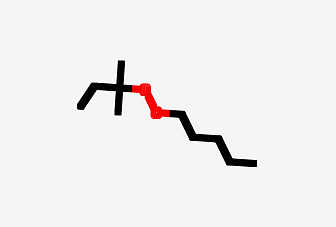 CCCCCOOC(C)(C)CC